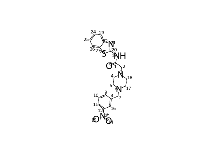 O=C(CN1CCN(Cc2cccc([N+](=O)[O-])c2)CC1)Nc1nc2ccccc2s1